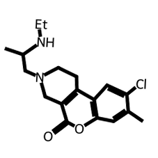 CCNC(C)CN1CCc2c(c(=O)oc3cc(C)c(Cl)cc23)C1